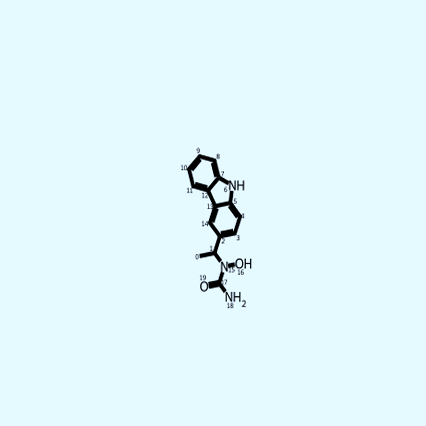 CC(c1ccc2[nH]c3ccccc3c2c1)N(O)C(N)=O